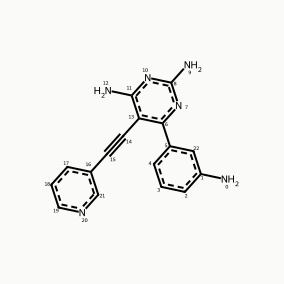 Nc1cccc(-c2nc(N)nc(N)c2C#Cc2cccnc2)c1